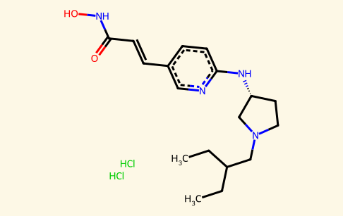 CCC(CC)CN1CC[C@@H](Nc2ccc(C=CC(=O)NO)cn2)C1.Cl.Cl